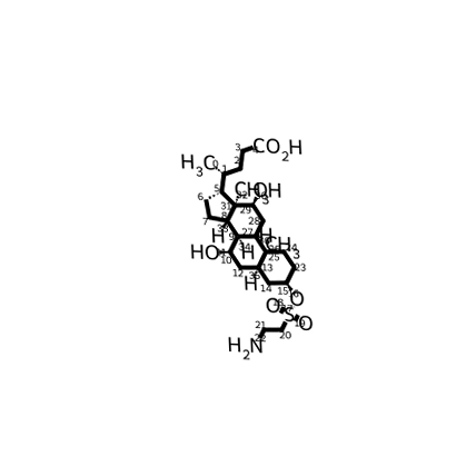 C[C@H](CCC(=O)O)[C@H]1CC[C@H]2[C@@H]3[C@H](O)C[C@@H]4C[C@H](OS(=O)(=O)CCN)CC[C@]4(C)[C@H]3C[C@H](O)[C@]12C